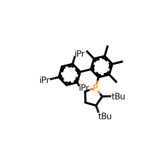 Cc1c(C)c(C)c(P2CCC(C(C)(C)C)C2C(C)(C)C)c(-c2c(C(C)C)cc(C(C)C)cc2C(C)C)c1C